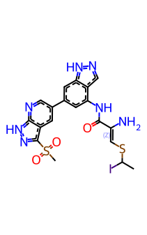 CC(I)S/C=C(\N)C(=O)Nc1cc(-c2cnc3[nH]nc(S(C)(=O)=O)c3c2)cc2[nH]ncc12